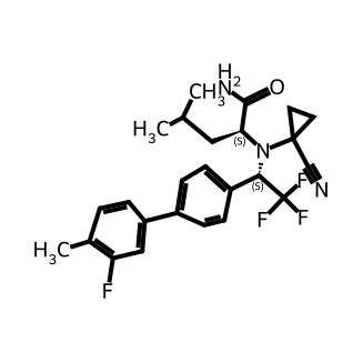 Cc1ccc(-c2ccc([C@H](N([C@@H](CC(C)C)C(N)=O)C3(C#N)CC3)C(F)(F)F)cc2)cc1F